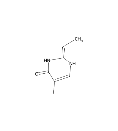 CC=C1NC=C(I)C(=O)N1